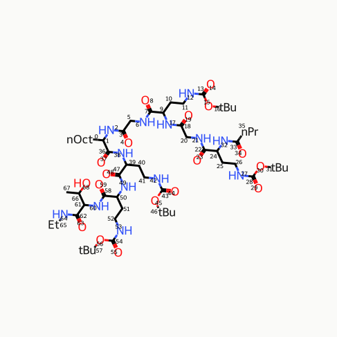 CCCCCCCCC(NC(=O)CNC(=O)C(CCNC(=O)OC(C)(C)C)NC(=O)CNC(=O)C(CCNC(=O)OC(C)(C)C)NC(=O)CCC)C(=O)NC(CCNC(=O)OC(C)(C)C)C(=O)NC(CCNC(=O)OC(C)(C)C)C(=O)NC(C(=O)NCC)C(C)O